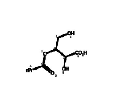 CCCC(=O)OC(CO)C(O)C(=O)O